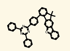 CC1(C)c2cc3c(cc2-c2c(-c4ccc(-c5nc(-c6ccccc6)nc(-c6ccccc6)n5)cc4)cccc21)oc1ccccc13